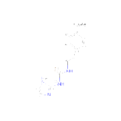 COc1ccc(CCNC(=S)Nc2ncc[nH]2)cc1